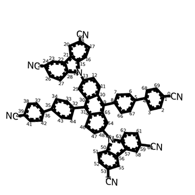 N#Cc1ccc(-c2ccc(-c3c4ccc(-n5c6ccc(C#N)cc6c6cc(C#N)ccc65)cc4c(-c4ccc(-c5ccc(C#N)cc5)cc4)c4ccc(-n5c6ccc(C#N)cc6c6cc(C#N)ccc65)cc34)cc2)cc1